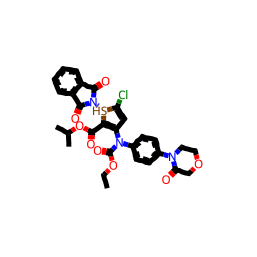 CCOC(=O)N(C1=C(C(=O)OC(C)C)[SH](N2C(=O)c3ccccc3C2=O)C(Cl)=C1)c1ccc(N2CCOCC2=O)cc1